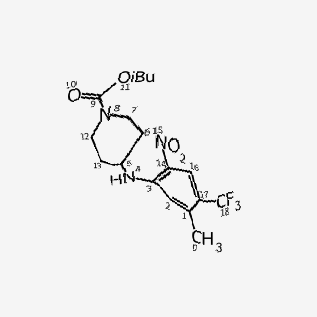 Cc1cc(NC2CCN(C(=O)OCC(C)C)CC2)c([N+](=O)[O-])cc1C(F)(F)F